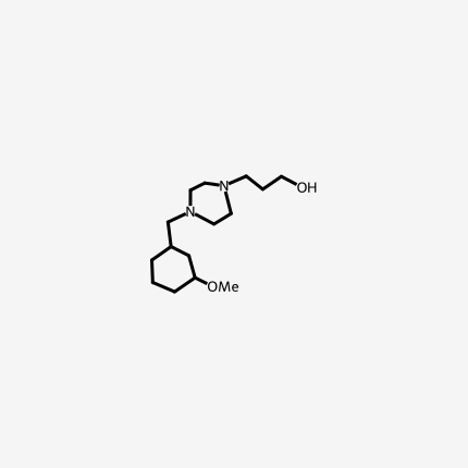 COC1CCCC(CN2CCN(CCCO)CC2)C1